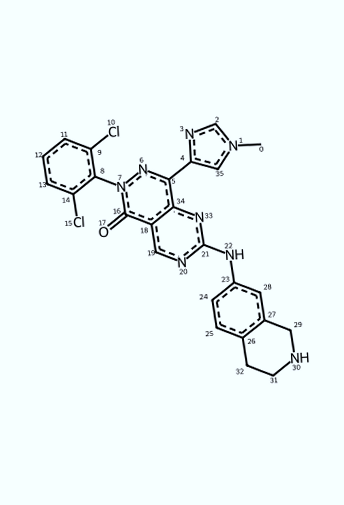 Cn1cnc(-c2nn(-c3c(Cl)cccc3Cl)c(=O)c3cnc(Nc4ccc5c(c4)CNCC5)nc23)c1